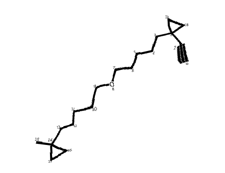 C#CC1(CCCCCOCCCCCC2(C)CC2)CC1